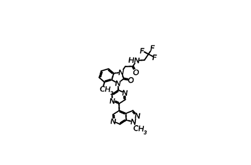 Cc1cccc2c1n(-c1cnc(-c3cncc4c3cnn4C)cn1)c(=O)n2CC(=O)NCC(F)(F)F